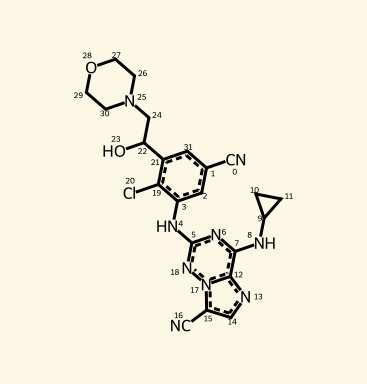 N#Cc1cc(Nc2nc(NC3CC3)c3ncc(C#N)n3n2)c(Cl)c(C(O)CN2CCOCC2)c1